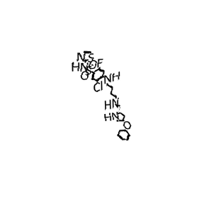 O=S(=O)(Nc1nccs1)c1cc(Cl)c(NCCCCNC[C@@H]2C[C@H](Oc3ccccc3)CN2)cc1F